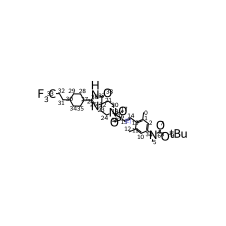 Cc1cc(N(C)C(=O)OC(C)(C)C)cc(C)c1/C=C/S(=O)(=O)N1CCC2(CC1)N=C(C1CCC(CCC(F)(F)F)CC1)NC2=O